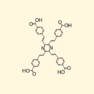 O=C(O)c1ccc(C=Cc2nc(C=Cc3ccc(C(=O)O)cc3)c(C=Cc3ccc(C(=O)O)cc3)nc2C=Cc2ccc(C(=O)O)cc2)cc1